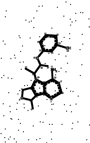 CC1OCc2c1c1ncnc(N)c1n2C(C)C(C)Oc1cccc(O)c1